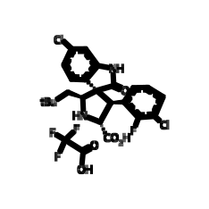 CC(C)(C)C[C@@H]1N[C@@H](C(=O)O)[C@H](c2cccc(Cl)c2F)[C@]12C(=O)Nc1cc(Cl)ccc12.O=C(O)C(F)(F)F